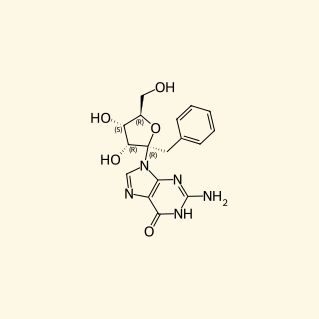 Nc1nc2c(ncn2[C@]2(Cc3ccccc3)O[C@H](CO)[C@@H](O)[C@H]2O)c(=O)[nH]1